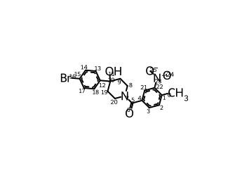 Cc1ccc(C(=O)N2CCC(O)(c3ccc(Br)cc3)CC2)cc1[N+](=O)[O-]